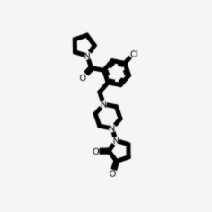 O=C1CCN(N2CCN(Cc3ccc(Cl)cc3C(=O)N3CCCC3)CC2)C1=O